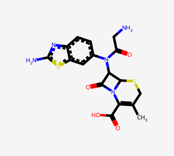 CC1=C(C(=O)O)N2C(=O)C(N(C(=O)CN)c3ccc4nc(N)sc4c3)C2SC1